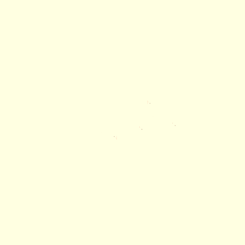 N#Cc1ncc2cc3ccccc3nc2n1